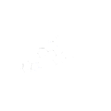 Cc1cccc(-c2nc(C)nc3ccc(-n4nnc5ccccc54)cc23)c1